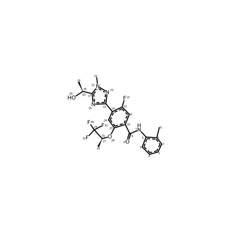 Cc1ccccc1NC(=O)c1cc(F)c(-c2nc([C@H](C)O)n(C)n2)cc1O[C@@H](C)C(F)(F)F